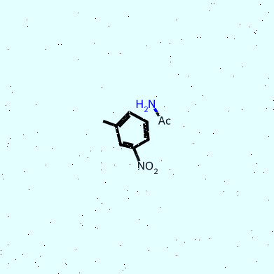 CC(N)=O.Cc1cccc([N+](=O)[O-])c1